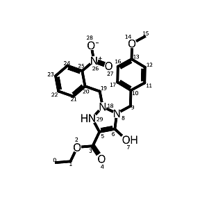 CCOC(=O)C1=C(O)N(Cc2ccc(OC)cc2)N(Cc2ccccc2[N+](=O)[O-])N1